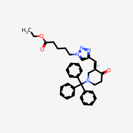 CCOC(=O)CCCCn1cc(/C=C2\CN(C(c3ccccc3)(c3ccccc3)c3ccccc3)CCC2=O)nn1